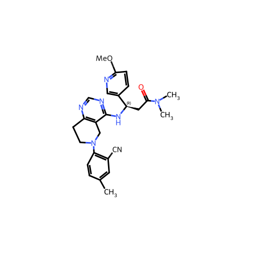 COc1ccc([C@@H](CC(=O)N(C)C)Nc2ncnc3c2CN(c2ccc(C)cc2C#N)CC3)cn1